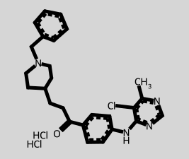 Cc1ncnc(Nc2ccc(C(=O)CCC3CCN(Cc4ccccc4)CC3)cc2)c1Cl.Cl.Cl